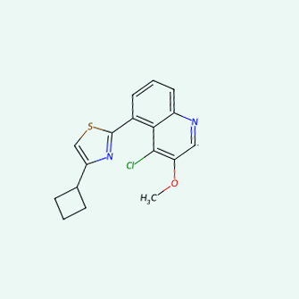 COc1[c]nc2cccc(-c3nc(C4CCC4)cs3)c2c1Cl